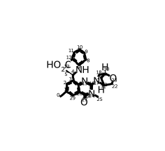 Cc1cc([C@@H](C)Nc2ccccc2C(=O)O)c2nc(N3C[C@@H]4C[C@H]3CO4)n(C)c(=O)c2c1